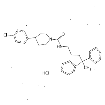 CC(CCCNC(=O)N1CCC(c2ccc(Cl)cc2)CC1)(c1ccccc1)c1ccccc1.Cl